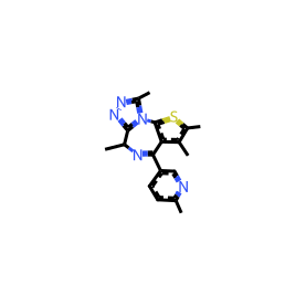 Cc1ccc(C2=NC(C)c3nnc(C)n3-c3sc(C)c(C)c32)cn1